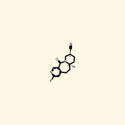 N#C[C@H]1CC[C@H]2CCc3cc(F)ncc3C(=O)N2C1